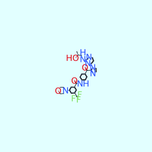 C[C@H](O)CNc1nccc(-n2ccnc2C(=O)c2ccc(NC(=O)c3cc(N4CCOCC4)cc(C(F)(F)F)c3)cc2)n1